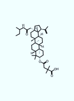 C=C(C)[C@@H]1CC[C@]2(CC(=O)NC(C)CC)CC[C@]3(C)[C@H](CC[C@@H]4[C@@]5(C)CC[C@H](OC(=O)CC(C)(C)C(=O)O)C(C)(C)[C@@H]5CC[C@]43C)[C@@H]12